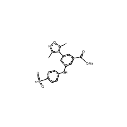 COC(=O)c1cc(Nc2ccc(S(C)(=O)=O)cc2)cc(-c2c(C)noc2C)c1